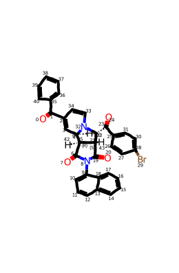 O=C(C1=C[C@@H]2[C@@H]3C(=O)N(c4cccc5ccccc45)C(=O)[C@@H]3[C@@H](C(=O)c3ccc(Br)cc3)N2C=C1)c1ccccc1